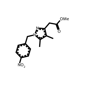 COC(=O)Cc1nn(Cc2ccc([N+](=O)[O-])cc2)c(C)c1C